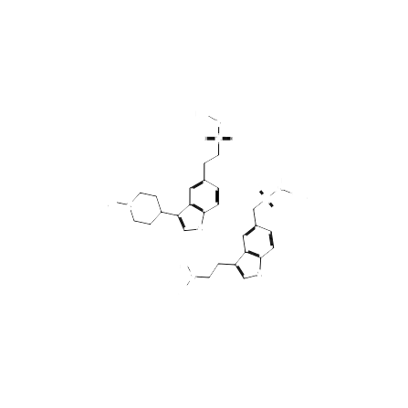 CNS(=O)(=O)CCc1ccc2[nH]cc(C3CCN(C)CC3)c2c1.CNS(=O)(=O)Cc1ccc2[nH]cc(CCN(C)C)c2c1